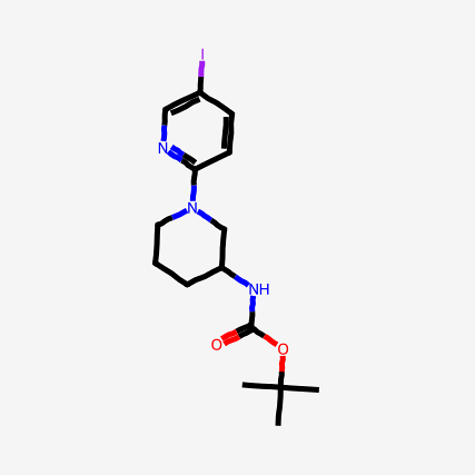 CC(C)(C)OC(=O)NC1CCCN(c2ccc(I)cn2)C1